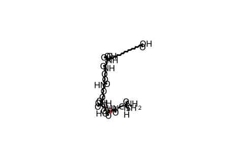 NC(=O)[C@H](CCCCNC(=O)CC[C@H](NC(=O)CCC(NC(=O)COCCOCCNC(=O)COCCOCCNC(=O)CC[C@H](NC(=O)CCCCCCCCCCCCCCCCC(=O)O)C(=O)O)C(=O)O)C(=O)O)NS